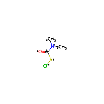 CN(C)C(=O)SCl